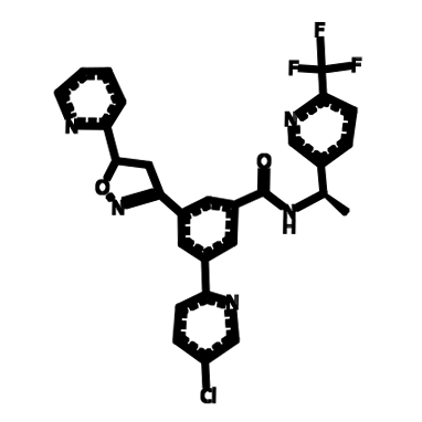 C[C@@H](NC(=O)c1cc(C2=NOC(c3ccccn3)C2)cc(-c2ccc(Cl)cn2)c1)c1ccc(C(F)(F)F)nc1